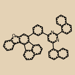 c1cc(-c2cc(-c3cccc4ccccc34)nc(-c3cccc4ccccc34)n2)cc(-c2cc3oc4ccccc4c3c3c2-c2cccc4cccc-3c24)c1